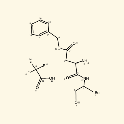 CC(C)(C)C(CO)NC(=O)C(N)CC(=O)OCc1ccccc1.O=C(O)C(F)(F)F